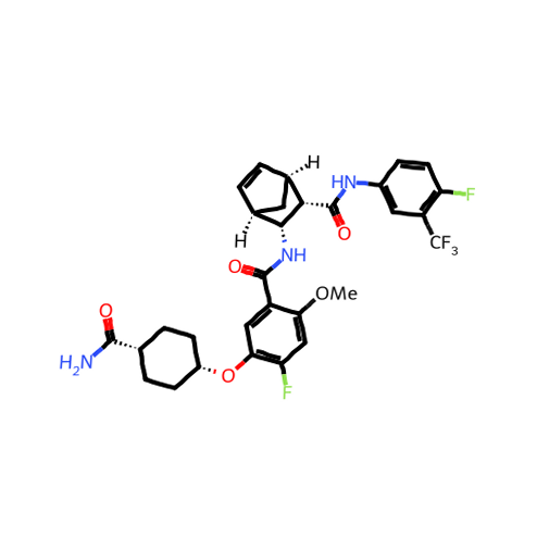 COc1cc(F)c(O[C@H]2CC[C@@H](C(N)=O)CC2)cc1C(=O)N[C@H]1[C@@H](C(=O)Nc2ccc(F)c(C(F)(F)F)c2)[C@@H]2C=C[C@H]1C2